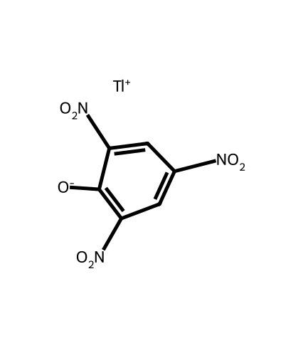 O=[N+]([O-])c1cc([N+](=O)[O-])c([O-])c([N+](=O)[O-])c1.[Tl+]